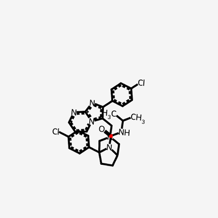 CC(C)NC(=O)N1C2CCC1(c1ccc(Cl)cc1)CN(Cc1c(-c3ccc(Cl)cc3)nc3ncccn13)C2